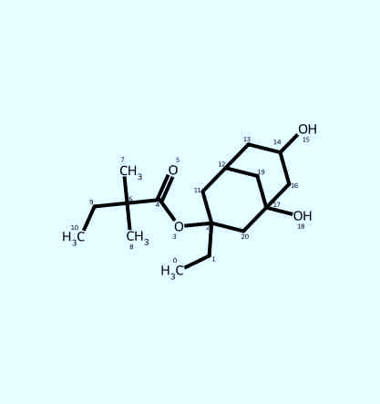 CCC1(OC(=O)C(C)(C)CC)CC2CC(O)CC(O)(C2)C1